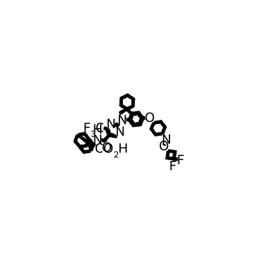 O=C(NC1(C(=O)O)C2CC3CC(C2)CC1C3)c1cnc(N2CC3(CCCCC3)c3cc(OC4CCC(=NOC5CC(F)(F)C5)CC4)ccc32)nc1C(F)(F)F